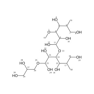 COC(C(O)C(C)CO)C(O)C(O)OC(C(O)C(C)CO)C(O)C(O)OCC(O)CO